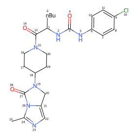 CCCCC(NC(=O)Nc1ccc(Cl)cc1)C(=O)N1CCC(N2Cc3cnc(C)n3C2=O)CC1